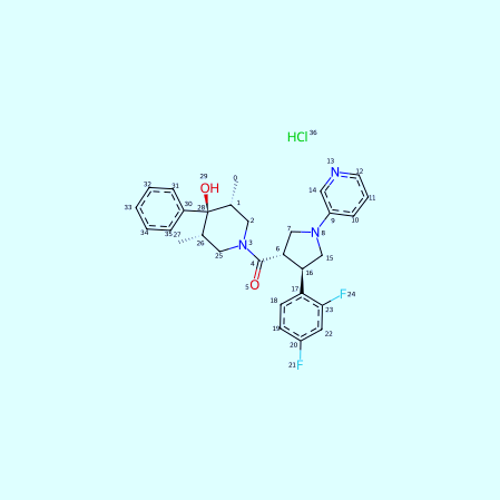 C[C@@H]1CN(C(=O)[C@@H]2CN(c3cccnc3)C[C@H]2c2ccc(F)cc2F)C[C@H](C)[C@]1(O)c1ccccc1.Cl